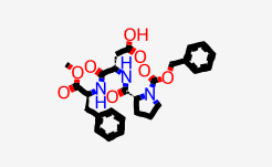 COC(=O)[C@H](Cc1ccccc1)NC(=O)[C@H](CC(=O)O)NC(=O)[C@H]1CCCN1C(=O)OCc1ccccc1